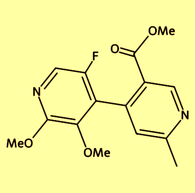 COC(=O)c1cnc(C)cc1-c1c(F)cnc(OC)c1OC